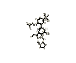 CCc1nn(C[C@@H]2CCCN2C)c2c(=O)[nH]c(-c3cc(S(C)(=O)=O)ccc3OCC(C)C)nc12